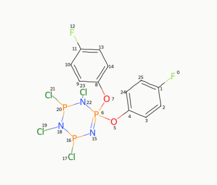 Fc1ccc(OP2(Oc3ccc(F)cc3)=NP(Cl)N(Cl)P(Cl)N2Cl)cc1